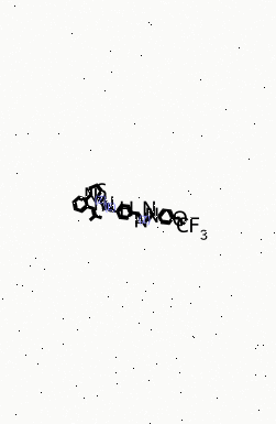 CC(C)=Cc1ccccc1N1CCS/C1=N\N=C\c1ccc(C/N=C\N(N)c2ccc(OC(F)(F)F)cc2)cc1